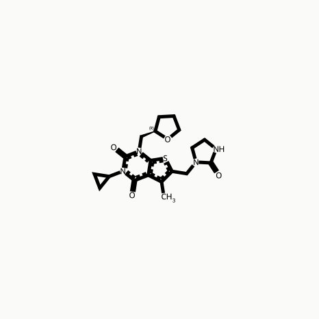 Cc1c(CN2CCNC2=O)sc2c1c(=O)n(C1CC1)c(=O)n2C[C@H]1CCCO1